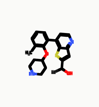 CCC(O)c1cc2nccc(-c3cccc(C)c3OC3CCNCC3)c2s1